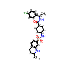 CC1CCc2ccc(S(=O)(=O)NC3CCC(C(=O)N[C@H](C)c4ccc(F)cc4)CC3)cc2N1